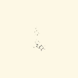 CCC1CCC(CCC2CCC(C(=O)O)(c3cc(F)c(F)c(F)c3)CC2)CC1